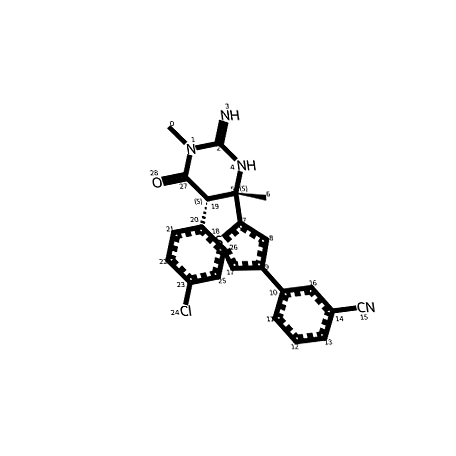 CN1C(=N)N[C@](C)(c2cc(-c3cccc(C#N)c3)cs2)[C@H](c2ccc(Cl)cc2)C1=O